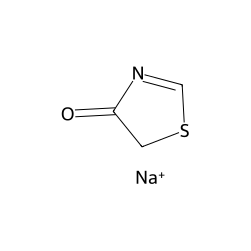 O=C1CSC=N1.[Na+]